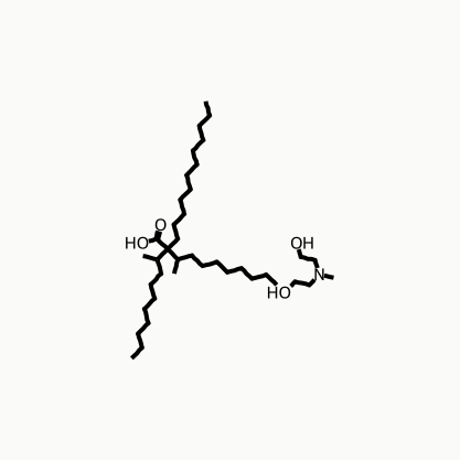 CCCCCCCCCCCCC(C(=O)O)(C(C)CCCCCCCC)C(C)CCCCCCCC.CN(CCO)CCO